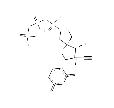 C#C[C@@]1(O)[C@H](O)[C@@](CF)(COP(=O)(O)OP(=O)(O)OP(=O)(O)O)O[C@H]1n1ccc(=O)[nH]c1=O